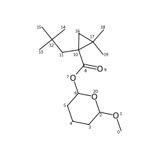 COC1CCCC(OC(=O)C2(CC(C)(C)C)CC2(C)C)O1